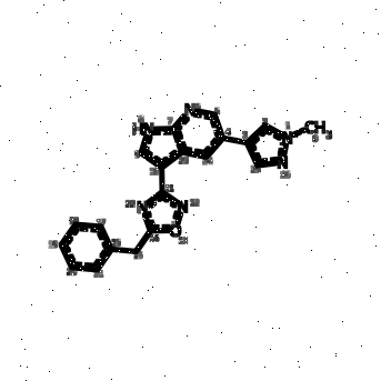 Cn1cc(-c2cnc3[nH]cc(-c4noc(Cc5ccccc5)n4)c3c2)cn1